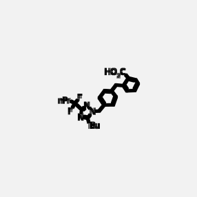 CCCC(F)(F)c1nc(C(C)CC)n(Cc2ccc(Cc3ccccc3C(=O)O)cc2)n1